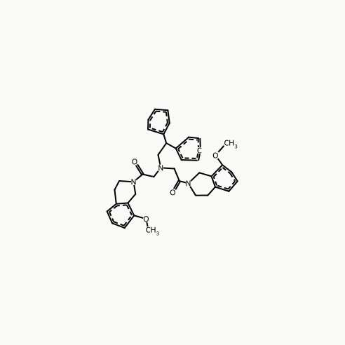 COc1cccc2c1CN(C(=O)CN(CC(=O)N1CCc3cccc(OC)c3C1)CC(c1ccccc1)c1ccccc1)CC2